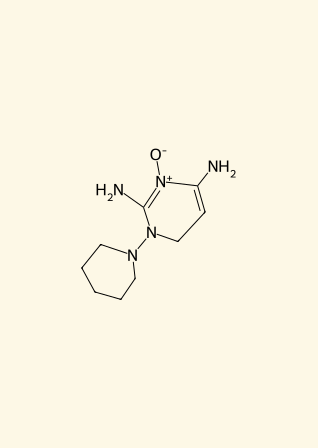 NC1=CCN(N2CCCCC2)C(N)=[N+]1[O-]